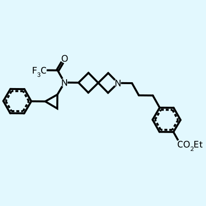 CCOC(=O)c1ccc(CCCN2CC3(CC(N(C(=O)C(F)(F)F)C4CC4c4ccccc4)C3)C2)cc1